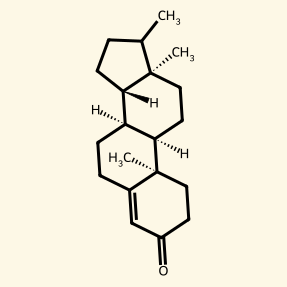 CC1CC[C@H]2[C@@H]3CCC4=CC(=O)CC[C@]4(C)[C@@H]3CC[C@]12C